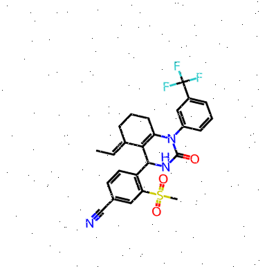 CC=C1CCCC2=C1C(c1ccc(C#N)cc1S(C)(=O)=O)NC(=O)N2c1cccc(C(F)(F)F)c1